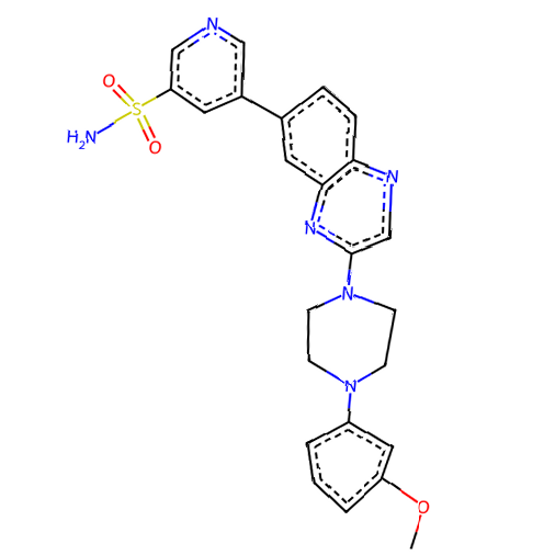 COc1cccc(N2CCN(c3cnc4ccc(-c5cncc(S(N)(=O)=O)c5)cc4n3)CC2)c1